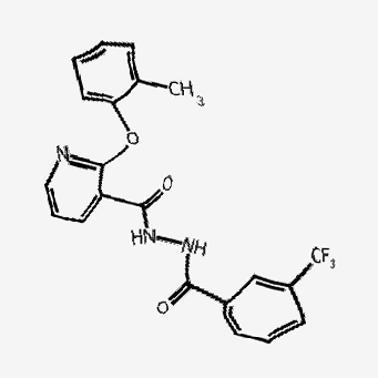 Cc1ccccc1Oc1ncccc1C(=O)NNC(=O)c1cccc(C(F)(F)F)c1